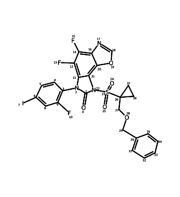 O=c1n(-c2ccc(I)cc2F)c2c(F)c(F)c3ncoc3c2n1S(=O)(=O)C1(COCc2ccccc2)CC1